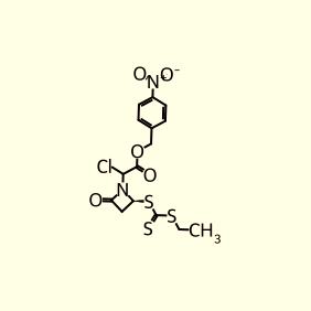 CCSC(=S)S[C@H]1CC(=O)N1C(Cl)C(=O)OCc1ccc([N+](=O)[O-])cc1